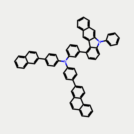 c1ccc(-n2c3cc4ccccc4cc3c3c(-c4cccc(N(c5ccc(-c6ccc7ccccc7c6)cc5)c5ccc(-c6ccc7c(ccc8ccccc87)c6)cc5)c4)cccc32)cc1